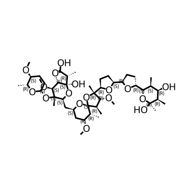 CO[C@H]1CC[C@H](O[C@@]2(C)[C@H](C[C@@H]3C[C@@H](OC)[C@@H](C)[C@]4(O3)O[C@](C)([C@H]3CC[C@@H]([C@H]5CC[C@H]([C@H]6O[C@](C)(O)[C@H](C)[C@H](O)[C@@H]6C)O5)O3)[C@H](OC)[C@H]4C)O[C@](O)([C@@H](C)C(=O)O)[C@@H](C)[C@@H]2OC)O[C@@H]1C